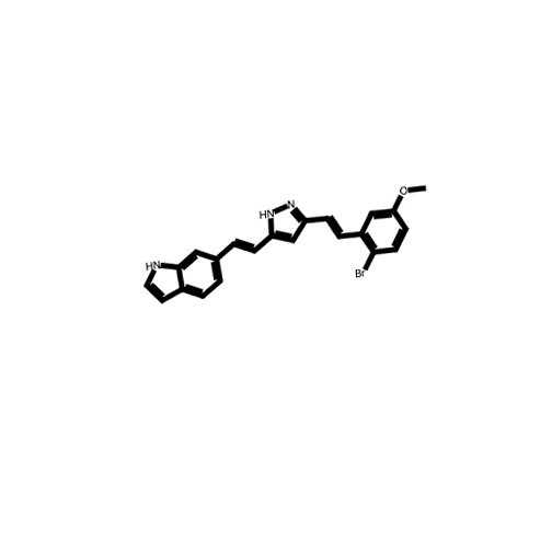 COc1ccc(Br)c(C=Cc2cc(C=Cc3ccc4cc[nH]c4c3)[nH]n2)c1